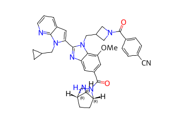 COc1cc(C(=O)N2C[C@H]3CC[C@@H]2[C@@H]3N)cc2nc(-c3cc4cccnc4n3CC3CC3)n(CC3CN(C(=O)c4ccc(C#N)cc4)C3)c12